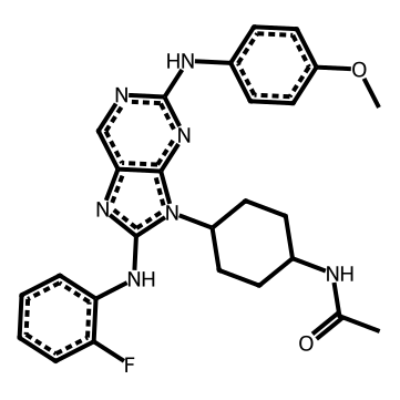 COc1ccc(Nc2ncc3nc(Nc4ccccc4F)n(C4CCC(NC(C)=O)CC4)c3n2)cc1